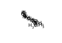 CC(C)(C)OC(=O)N1CCC(c2ccc(-c3cnn(C4CCCCO4)c3)cc2)CC1